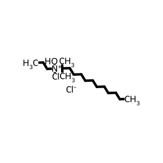 CCCCCCCCCCCC(C)(C)[N+](O)(Cl)CCC.[Cl-]